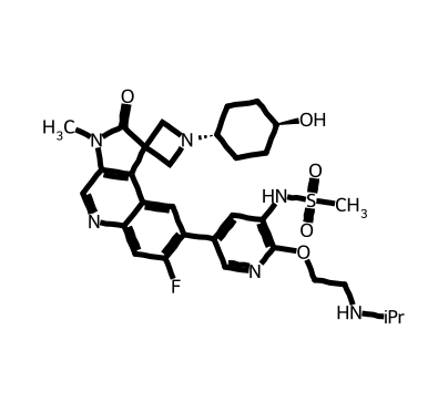 CC(C)NCCOc1ncc(-c2cc3c4c(cnc3cc2F)N(C)C(=O)C42CN([C@H]3CC[C@H](O)CC3)C2)cc1NS(C)(=O)=O